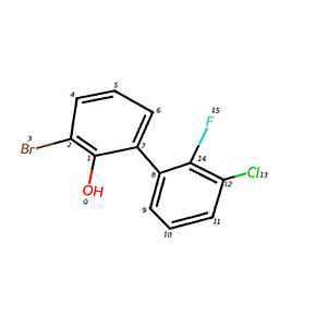 Oc1c(Br)cccc1-c1cccc(Cl)c1F